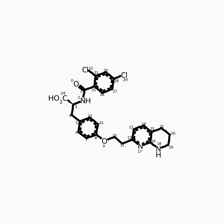 O=C(N[C@@H](Cc1ccc(OCCc2ccc3c(n2)NCCC3)cc1)C(=O)O)c1ccc(Cl)cc1Cl